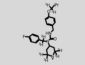 [2H]C([2H])(Oc1ccc(CNC(=O)N(C2CC([2H])([2H])N(C)C([2H])([2H])C2)C([2H])([2H])c2ccc(F)cc2)cc1)C(C)C